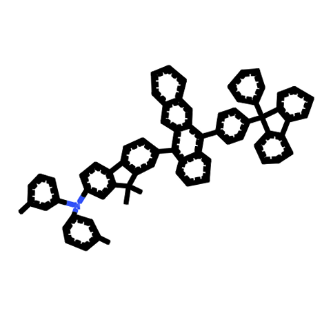 Cc1cccc(N(c2cccc(C)c2)c2ccc3c(c2)C(C)(C)c2cc(-c4c5ccccc5c(-c5ccc(C6(c7ccccc7)c7ccccc7-c7ccccc76)cc5)c5cc6ccccc6cc45)ccc2-3)c1